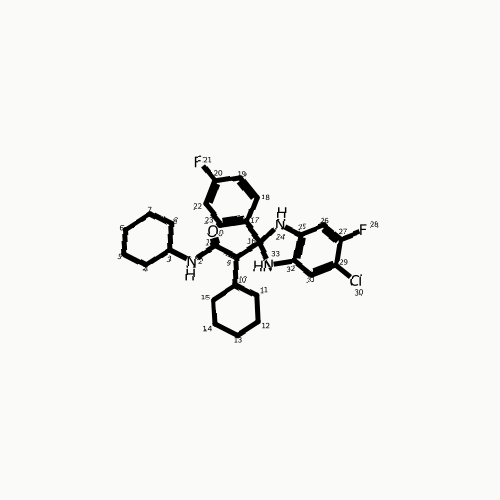 O=C(NC1CCCCC1)C(C1CCCCC1)C1(c2ccc(F)cc2)Nc2cc(F)c(Cl)cc2N1